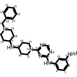 CC(=O)Nc1cccc(Nc2ncnc(N3CCC(NC4CCN(Cc5ccccc5)CC4)CC3)n2)c1